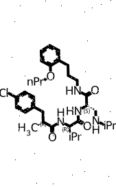 CCCOc1ccccc1CCCNC(=O)[C@H](CNC(C)C)NC(=O)[C@H](NC(=O)[C@H](C)Cc1ccc(Cl)cc1)C(C)C